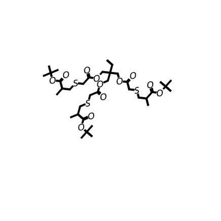 CCC(COC(=O)CSCC(C)C(=O)OC(C)(C)C)(COC(=O)CSCC(C)C(=O)OC(C)(C)C)COC(=O)CSCC(C)C(=O)OC(C)(C)C